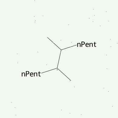 CCCCC[C](C)C(C)CCCCC